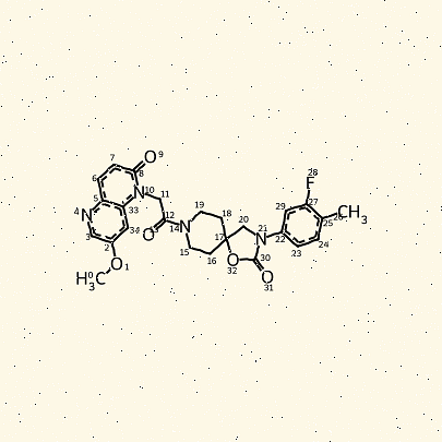 COc1cnc2ccc(=O)n(CC(=O)N3CCC4(CC3)CN(c3ccc(C)c(F)c3)C(=O)O4)c2c1